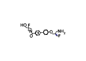 NC/C(=C\F)COc1ccc(C23CCC(C(=O)N4CC(F)(CO)C4)(CC2)CC3)cc1